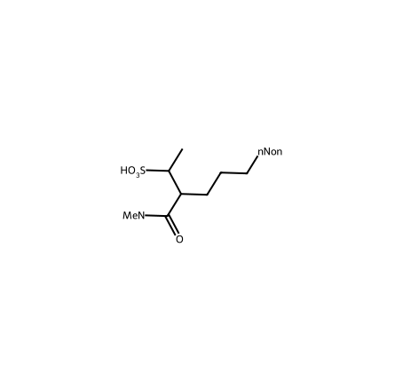 CCCCCCCCCCCCC(C(=O)NC)C(C)S(=O)(=O)O